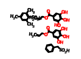 C=CCOC(=O)c1cc(O)c(O)c(O)c1.C=CCOC(=O)c1cc(O)c(O)c(O)c1.Cc1cc(C)c(S(=O)(=O)O)c(C)c1.O=S(=O)(O)Cc1ccccc1